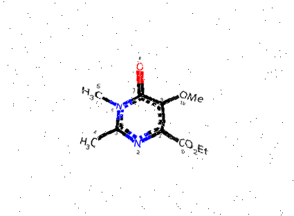 CCOC(=O)c1nc(C)n(C)c(=O)c1OC